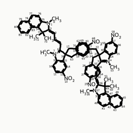 CN1/C(=C/C=C/C2=[N+](C)c3ccc([N+](=O)[O-])cc3C2(Cc2ccc(CC3(Cc4ccc([N+](=O)[O-])cc4)C(/C=C/C=C4/N(C)c5ccc6ccccc6c5C4(C)C)=[N+](C)c4ccc([N+](=O)[O-])cc43)cc2)Cc2ccc([N+](=O)[O-])cc2)C(C)(C)c2c1ccc1ccccc21